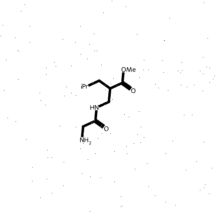 COC(=O)C(CNC(=O)CN)CC(C)C